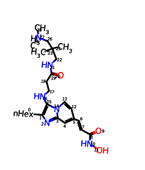 CCCCCCc1nc2cc(C=CC(=O)NO)ccn2c1NCCC(=O)NCC(C)(C)CN(C)C